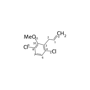 C=CCc1c(Cl)ccc(Cl)c1OC